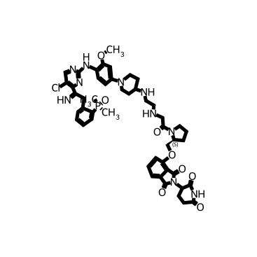 COc1cc(N2CCC(NCCNCC(=O)N3CCC[C@H]3COc3cccc4c3C(=O)N(C3CCC(=O)NC3=O)C4=O)CC2)ccc1Nc1ncc(Cl)c(C(=N)Cc2ccccc2P(C)(C)=O)n1